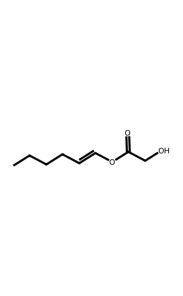 CCCCC=COC(=O)CO